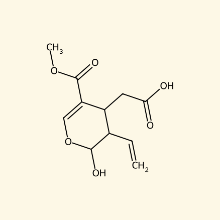 C=CC1C(O)OC=C(C(=O)OC)C1CC(=O)O